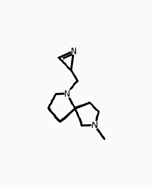 CN1CCC2(CCCN2CC2C=N2)C1